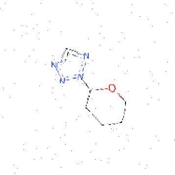 c1nnn(C2CCCCO2)n1